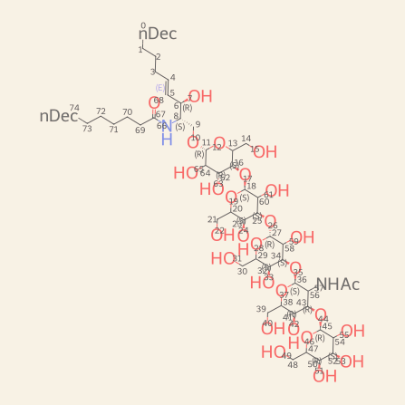 CCCCCCCCCCCCC/C=C/[C@@H](O)[C@H](CO[C@@H]1OC(CO)[C@@H](O[C@@H]2OC(CO)[C@H](O)[C@H](O[C@H]3OC(CO)[C@H](O)[C@H](O[C@@H]4OC(CO)[C@H](O)[C@H](O[C@@H]5OC(CO)[C@H](O)[C@H](O)C5O)C4NC(C)=O)C3O)C2O)[C@H](O)C1O)NC(=O)CCCCCCCCCCCCCCC